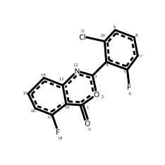 O=c1oc(-c2c(F)cccc2Cl)nc2cccc(F)c12